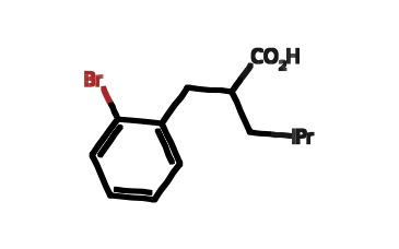 CC(C)CC(Cc1ccccc1Br)C(=O)O